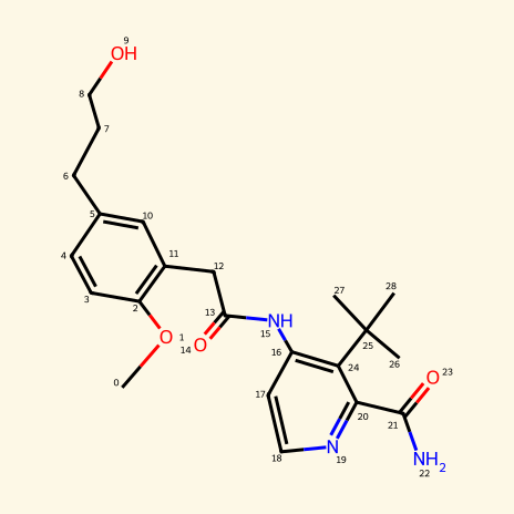 COc1ccc(CCCO)cc1CC(=O)Nc1ccnc(C(N)=O)c1C(C)(C)C